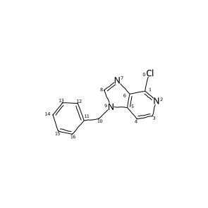 Clc1nccc2c1ncn2Cc1ccccc1